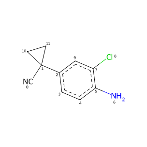 N#CC1(c2ccc(N)c(Cl)c2)CC1